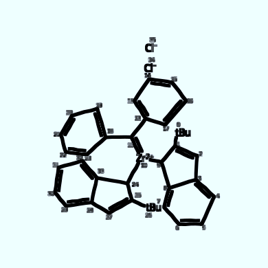 CC(C)(C)C1=Cc2ccccc2[CH]1[Zr+2](=[C](c1ccccc1)c1ccccc1)[CH]1C(C(C)(C)C)=Cc2ccccc21.[Cl-].[Cl-]